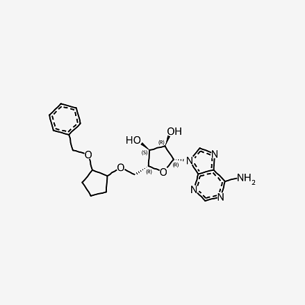 Nc1ncnc2c1ncn2[C@@H]1O[C@H](COC2CCCC2OCc2ccccc2)[C@@H](O)[C@H]1O